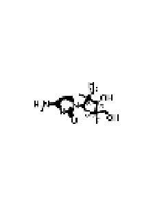 C[C@]1(N)[C@H](n2ccc(N)nc2=O)O[C@](F)(CO)[C@H]1O